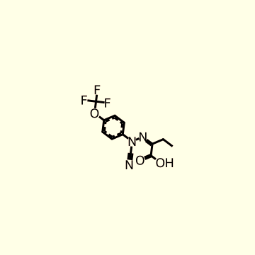 CCC(=NN(C#N)c1ccc(OC(F)(F)F)cc1)C(=O)O